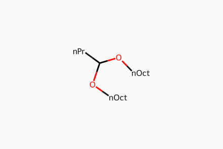 [CH2]CCC(OCCCCCCCC)OCCCCCCCC